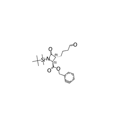 CC(C)(C)[Si](C)(C)N1C(=O)[C@H](CCCC=O)[C@H]1C(=O)OCc1c#cccc1